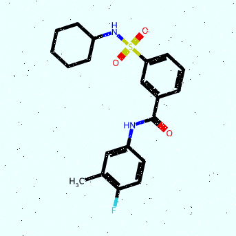 Cc1cc(NC(=O)c2cccc(S(=O)(=O)NC3CCCCC3)c2)ccc1F